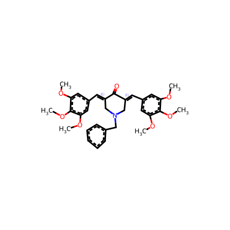 COc1cc(/C=C2\CN(Cc3ccccc3)C/C(=C\c3cc(OC)c(OC)c(OC)c3)C2=O)cc(OC)c1OC